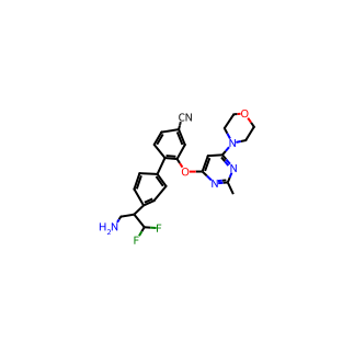 Cc1nc(Oc2cc(C#N)ccc2-c2ccc(C(CN)C(F)F)cc2)cc(N2CCOCC2)n1